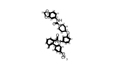 Cc1cccc(C(=O)Nc2cccc(OC3CCN(C(=O)Nc4ccc5c(c4)OCO5)CC3)c2)c1-c1ccc(OC(F)(F)F)cc1